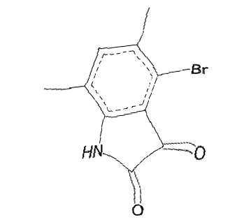 Cc1cc(C)c2c(c1Br)C(=O)C(=O)N2